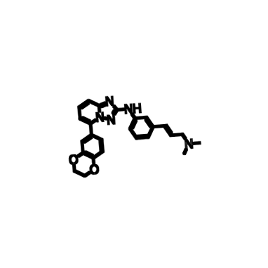 CN(C)CC=Cc1cccc(Nc2nc3cccc(-c4ccc5c(c4)OCCO5)n3n2)c1